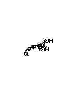 Cc1cccc(Cc2ccc(N3CCC(Cc4nc(C)c(O)c(C(=O)NCC(=O)O)n4)CC3)cc2)c1